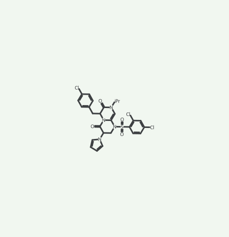 CC(C)N1C=C2N(C(=O)C(n3cccc3)CN2S(=O)(=O)c2ccc(Cl)cc2Cl)C(Cc2ccc(Cl)cc2)C1=O